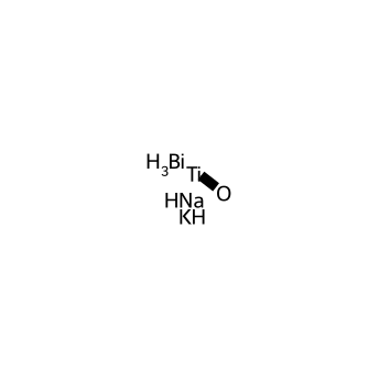 [BiH3].[KH].[NaH].[O]=[Ti]